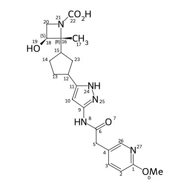 COc1ccc(CC(=O)Nc2cc(C3CCC([C@]4(C)[C@@H](O)CN4C(=O)O)C3)[nH]n2)cn1